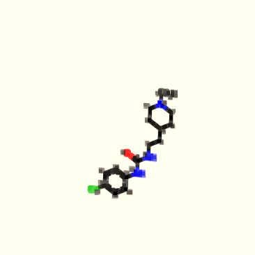 O=C(NCCC1CCN(C(=O)O)CC1)Nc1ccc(Cl)cc1